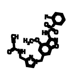 C#CC(=O)NCc1ccn(Cc2cc(OC)c3c(NS(=O)(=O)c4ccccc4F)noc3c2)n1